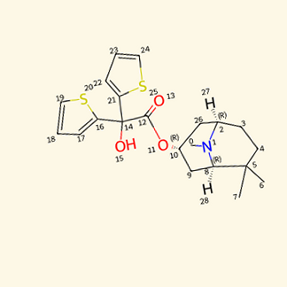 CN1[C@@H]2CCC(C)(C)[C@H]1C[C@H](OC(=O)C(O)(c1cccs1)c1cccs1)C2